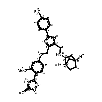 COc1cc(OCc2sc(-c3ccc(C(F)(F)F)cc3)nc2CN[C@@H]2C[C@@H]3CC[C@@H]2C3)ccc1-c1noc(=O)[nH]1